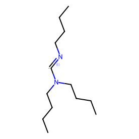 CCCC/N=[C]/N(CCCC)CCCC